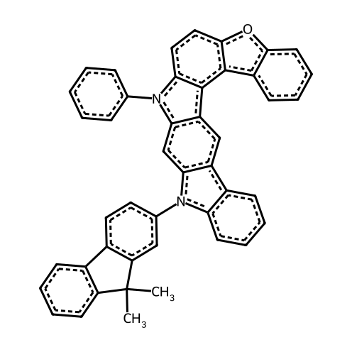 CC1(C)c2ccccc2-c2ccc(-n3c4ccccc4c4cc5c6c7c(ccc6n(-c6ccccc6)c5cc43)oc3ccccc37)cc21